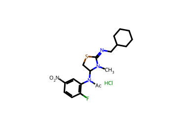 CC(=O)N(c1cc([N+](=O)[O-])ccc1F)C1CSC(=NCC2CCCCC2)N1C.Cl